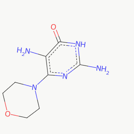 Nc1nc(N2CCOCC2)c(N)c(=O)[nH]1